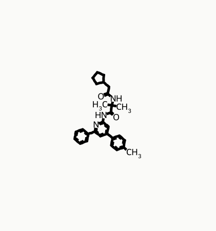 Cc1ccc(-c2cc(NC(=O)C(C)(C)NC(=O)CC3CCCC3)nc(-c3ccccc3)c2)cc1